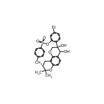 CCc1ccc(C2(O)COc3c(ccc4c3CCC(C)(C)O4)C2O)c(OS(=O)(=O)c2ccc(C)cc2)c1